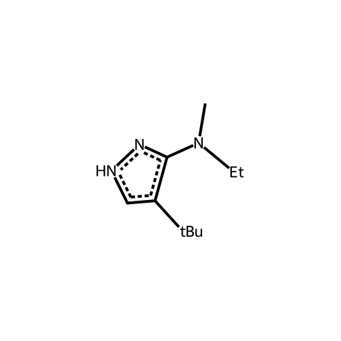 CCN(C)c1n[nH]cc1C(C)(C)C